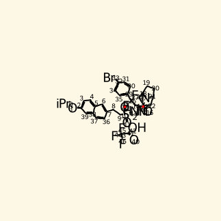 CC(C)Oc1ccc2cc(CCS(=O)(=O)NC(C(=O)N3C4CCC3CC(N)C4)C(F)(F)c3ccc(Br)cc3)ccc2c1.O=C(O)C(F)(F)F